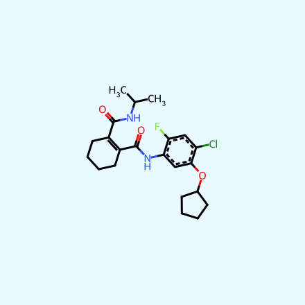 CC(C)NC(=O)C1=C(C(=O)Nc2cc(OC3CCCC3)c(Cl)cc2F)CCCC1